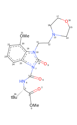 COC(=O)[C@@H](NC(=O)n1c(=O)n(CCN2CCOCC2)c2c(OC)cccc21)C(C)(C)C